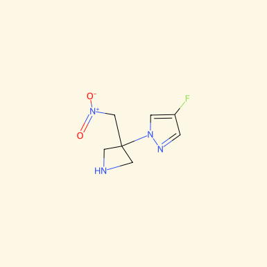 O=[N+]([O-])CC1(n2cc(F)cn2)CNC1